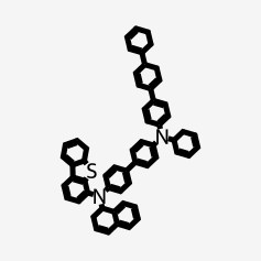 C1=CCCC(C2C=CC(c3ccc(N(c4ccc(-c5ccc(N(c6cccc7c6SC6CC=CC=C76)C6CC=Cc7ccccc76)cc5)cc4)C4C=CC=CC4)cc3)=CC2)=C1